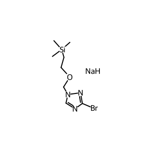 C[Si](C)(C)CCOCn1cnc(Br)n1.[NaH]